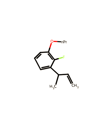 C=C[C](C)c1cccc(OCCC)c1F